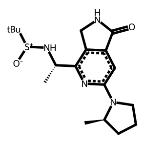 C[C@H](N[S+]([O-])C(C)(C)C)c1nc(N2CCC[C@H]2C)cc2c1CNC2=O